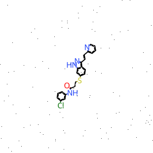 O=C(CCSc1ccc2c(C=Cc3ccccn3)n[nH]c2c1)Nc1cccc(Cl)c1